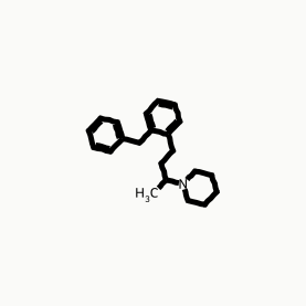 CC(CCc1ccccc1Cc1ccccc1)N1CCCCC1